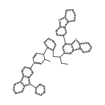 CCC(Cc1ccccc1C1C=CC(c2ccc3c4ccccc4n(-c4ccccc4)c3c2)=CC1C)c1cc(-c2ccc3oc4ccccc4c3c2)c2sc3ccccc3c2c1